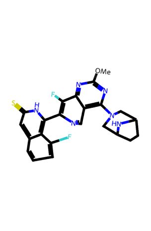 COc1nc(N2CC3CCC(C2)N3)c2cnc(-c3[nH]c(=S)cc4cccc(F)c34)c(F)c2n1